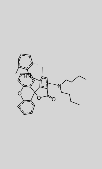 CCCCN(CCCC)c1cc(C)c(Nc2c(C)cccc2C)c2c1C(=O)OC21c2ccccc2Oc2ccccc21